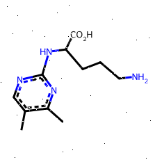 Cc1cnc(NC(CCCN)C(=O)O)nc1C